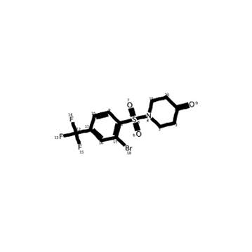 O=C1CCN(S(=O)(=O)c2ccc(C(F)(F)F)cc2Br)CC1